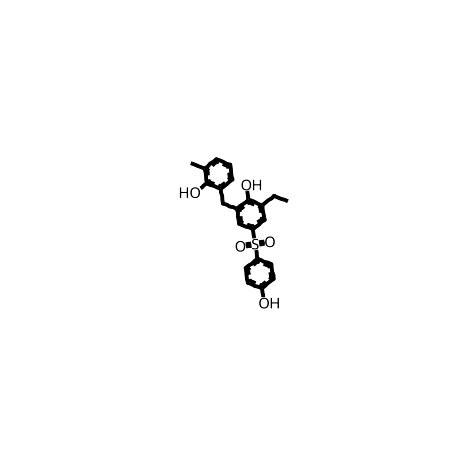 CCc1cc(S(=O)(=O)c2ccc(O)cc2)cc(Cc2cccc(C)c2O)c1O